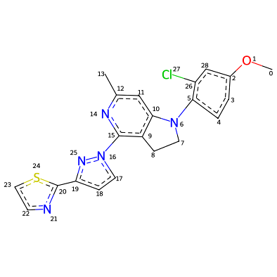 COc1ccc(N2CCc3c2cc(C)nc3-n2ccc(-c3nccs3)n2)c(Cl)c1